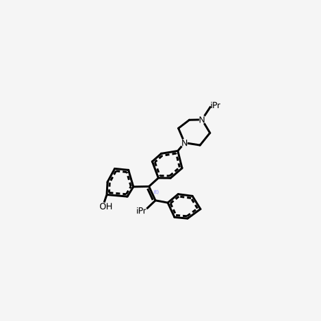 CC(C)/C(=C(/c1ccc(N2CCN(C(C)C)CC2)cc1)c1cccc(O)c1)c1ccccc1